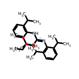 CCN(CC)O/C(=N\c1c(C(C)C)cccc1C(C)C)Nc1c(C(C)C)cccc1C(C)C